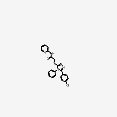 O=C(CSc1nnc(-c2ccc(Cl)cc2)n1-c1ccccc1)Nc1ccccn1